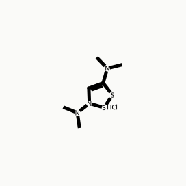 CN(C)C1=CN(N(C)C)SS1.Cl